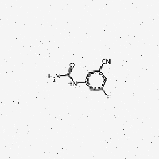 N#Cc1cc(F)cc(NC(N)=O)c1